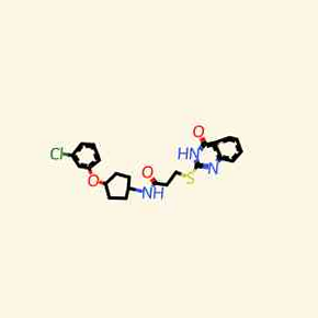 O=C(CCSc1nc2ccccc2c(=O)[nH]1)NC1CCC(Oc2cccc(Cl)c2)CC1